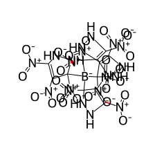 O=[N+]([O-])C1=C([N+](=O)[O-])C([N+](=O)[O-])([B-](C2([N+](=O)[O-])NNC([N+](=O)[O-])=C2[N+](=O)[O-])(C2([N+](=O)[O-])NNC([N+](=O)[O-])=C2[N+](=O)[O-])C2([N+](=O)[O-])NNC([N+](=O)[O-])=C2[N+](=O)[O-])NN1